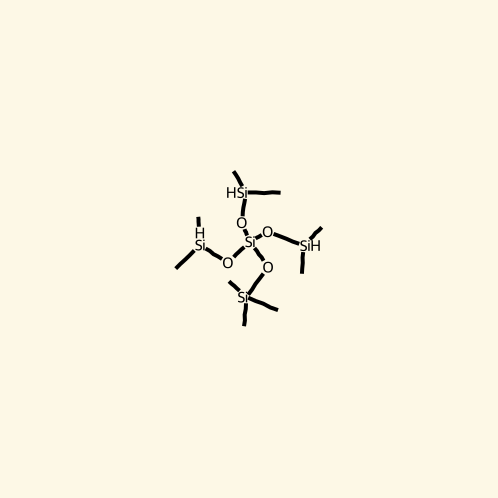 C[SiH](C)O[Si](O[SiH](C)C)(O[SiH](C)C)O[Si](C)(C)C